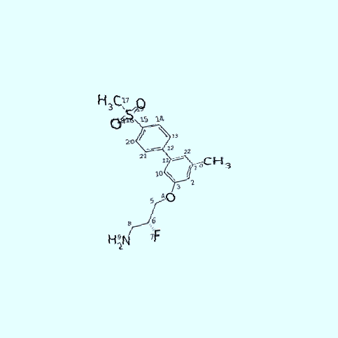 Cc1cc(OC[C@H](F)CN)cc(-c2ccc(S(C)(=O)=O)cc2)c1